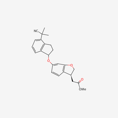 COC(=O)C[C@@H]1COc2cc(OC3CCc4c3cccc4C(C)(C)C#N)ccc21